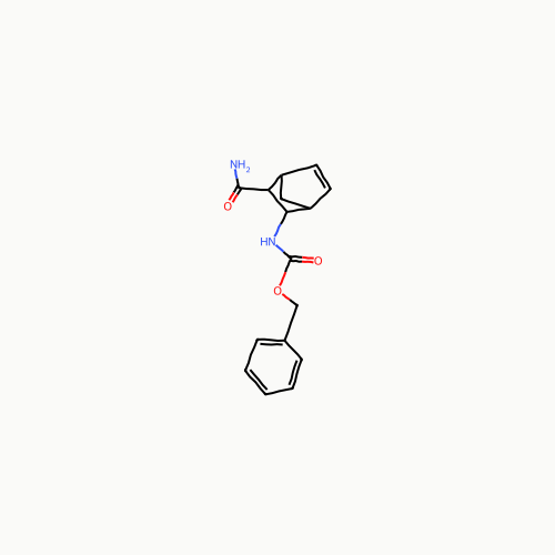 NC(=O)C1C2C=CC(C2)C1NC(=O)OCc1ccccc1